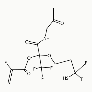 C=C(F)C(=O)OC(OCCC(F)(F)S)(C(=O)NCC(C)=O)C(F)(F)F